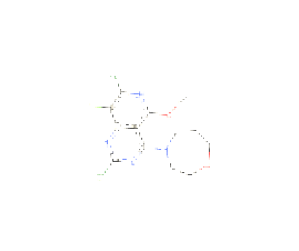 CC(C)Oc1nc(Cl)c(F)c2nc(Cl)nc(N3CCCOCC3)c12